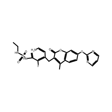 C=C(NS(=O)(=O)NCC)/C(F)=C(\C=C/N)Cc1c(C)c2ccc(Oc3ncccn3)cc2oc1=O